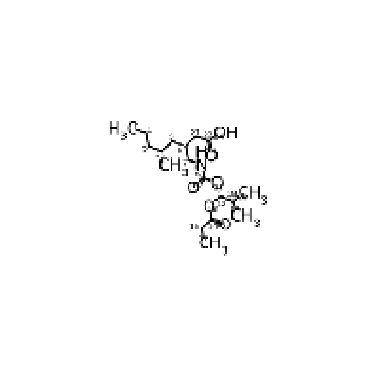 CCC[C@@H](C)C[C@H](CNC(=O)O[C@@H](OC(=O)CC)C(C)C)CC(=O)O